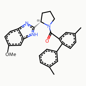 COc1ccc2nc([C@@H]3CCCN3C(=O)c3cc(C)ccc3-c3cccc(C)c3)[nH]c2c1